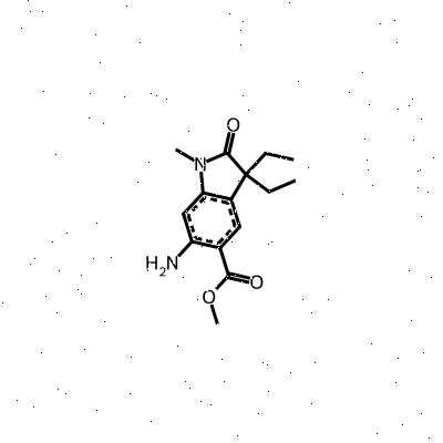 CCC1(CC)C(=O)N(C)c2cc(N)c(C(=O)OC)cc21